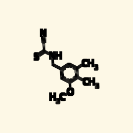 COc1cc(CNC(=S)C#N)cc(C)c1C